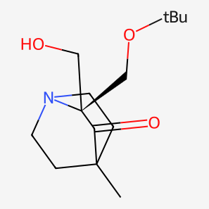 CC(C)(C)OC[C@@]1(CO)C(=O)C2(C)CCN1CC2